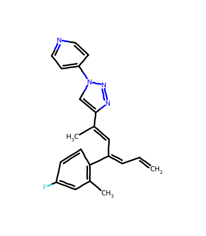 C=C/C=C(\C=C(/C)c1cn(-c2ccncc2)nn1)c1ccc(F)cc1C